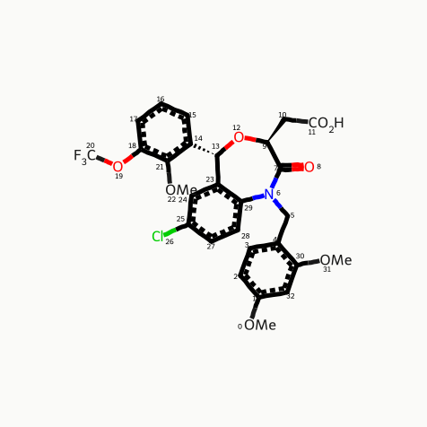 COc1ccc(CN2C(=O)[C@H](CC(=O)O)O[C@@H](c3cccc(OC(F)(F)F)c3OC)c3cc(Cl)ccc32)c(OC)c1